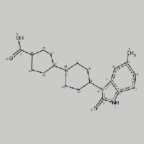 Cc1ccc2[nH]c(=O)n(C3CCN(C4CCC(C(=O)O)CC4)CC3)c2c1